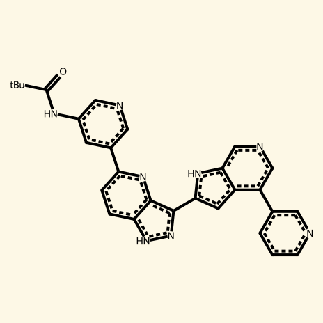 CC(C)(C)C(=O)Nc1cncc(-c2ccc3[nH]nc(-c4cc5c(-c6cccnc6)cncc5[nH]4)c3n2)c1